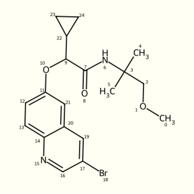 COCC(C)(C)NC(=O)C(Oc1ccc2ncc(Br)cc2c1)C1CC1